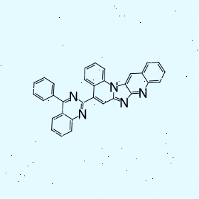 c1ccc(-c2nc(-c3cc4nc5nc6ccccc6cc5n4c4ccccc34)nc3ccccc23)cc1